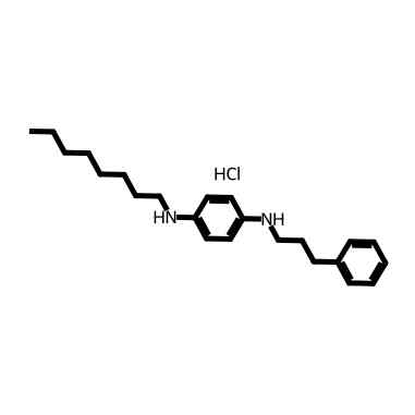 CCCCCCCCNc1ccc(NCCCc2ccccc2)cc1.Cl